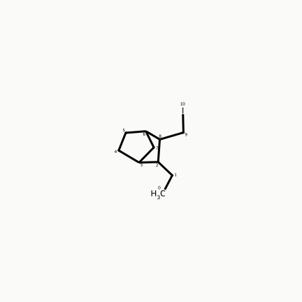 CCC1C2CCC(C2)C1CI